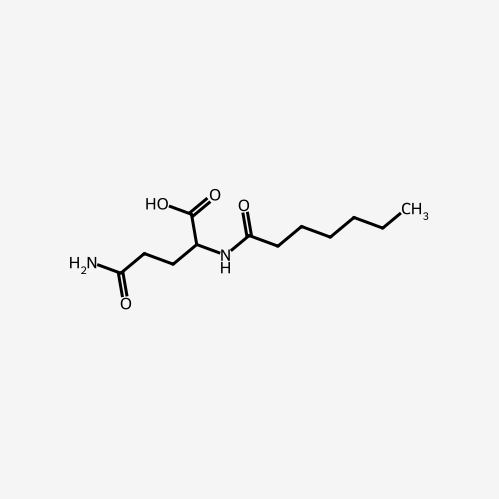 CCCCCCC(=O)NC(CCC(N)=O)C(=O)O